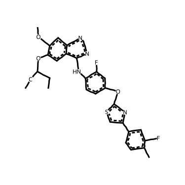 CCC(CC)Oc1cc2c(Nc3ccc(Oc4nc(-c5ccc(C)c(F)c5)cs4)cc3F)ncnc2cc1OC